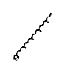 C=CC/C(C)=C/CC/C(C)=C/CC/C(C)=C/CC/C(C)=C/CCc1ccsc1